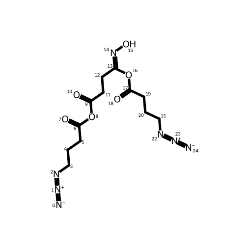 [N-]=[N+]=NCCCC(=O)OC(=O)CC/C(=N/O)OC(=O)CCCN=[N+]=[N-]